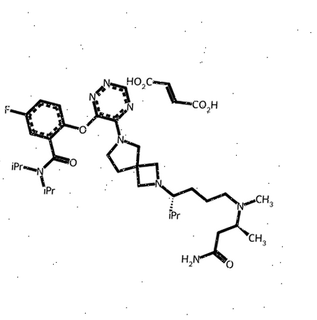 CC(C)[C@@H](CCCN(C)[C@@H](C)CC(N)=O)N1CC2(CCN(c3ncnnc3Oc3ccc(F)cc3C(=O)N(C(C)C)C(C)C)C2)C1.O=C(O)/C=C/C(=O)O